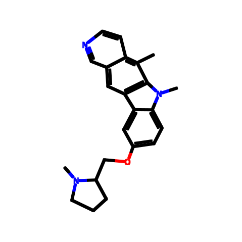 Cc1c2ccncc2cc2c3cc(OCC4CCCN4C)ccc3n(C)c12